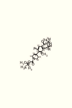 [2H]C([2H])([2H])N(C(=O)c1cc(C)c(C2=CCN(C(=O)OC(C)(C)C)CC2)c(F)c1)C([2H])([2H])[2H]